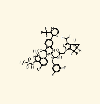 Cn1nc(NS(C)(=O)=O)c2c(Cl)ccc(-n3c([C@H](Cc4cc(F)cc(F)c4)NC(=O)Cn4nc(C(F)F)c5c4C(F)(F)[C@@H]4C[C@H]54)nc4cc(-c5nccnc5C(F)(F)F)ccc4c3=O)c21